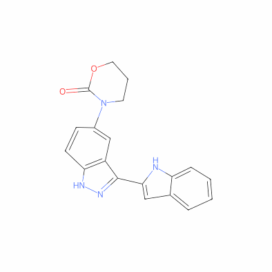 O=C1OCCCN1c1ccc2[nH]nc(-c3cc4ccccc4[nH]3)c2c1